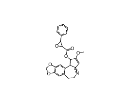 COC1=CC23CCCN2CCc2cc4c(cc2C3C1OC(=O)C1OC1c1ccccc1)OCO4